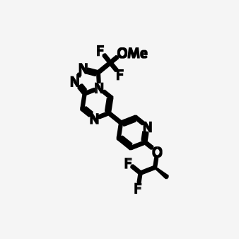 COC(F)(F)c1nnc2cnc(-c3ccc(O[C@@H](C)C(F)F)nc3)cn12